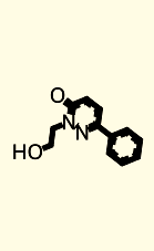 O=c1ccc(-c2ccccc2)nn1CCO